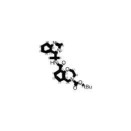 Cc1nc(C(C)(C)NC(=O)c2cccc3c2OCCN(C(=O)OC(C)(C)C)C3)c2ccccc2n1